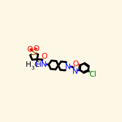 CC1(C(=O)NC2CCC3(CC2)CCN(c2nc4cc(Cl)ccc4o2)CC3)CCS(=O)(=O)C1